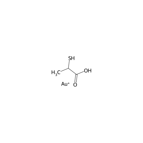 CC(S)C(=O)O.[Au+]